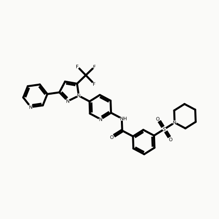 O=C(Nc1ccc(-n2nc(-c3cccnc3)cc2C(F)(F)F)cn1)c1cccc(S(=O)(=O)N2CCCCC2)c1